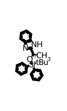 C[C@@H](O[Si](c1ccccc1)(c1ccccc1)C(C)(C)C)c1nc2ccccc2[nH]1